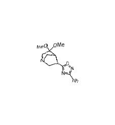 CCCc1noc(C2CN3CC2C(OC)(OC)C3)n1